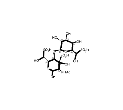 CC(=O)N[C@H]1C(O)O[C@H](C(O)S(=O)(=O)O)[C@@H](O[C@@H]2O[C@H](C(O)S(=O)(=O)O)[C@H](O)[C@H](O)[C@H]2O)[C@@]1(O)S(=O)(=O)O